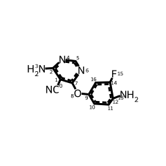 N#Cc1c(N)ncnc1Oc1ccc(N)c(F)c1